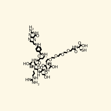 C[C@H](CCC(=O)N[C@@H](CC(=O)O)C(=O)N[C@@H](CCCNC(=N)N)C(=O)N[C@@H](CC(=O)O)C(=O)N[C@@H](CC(=O)O)C(=O)NCCOCCOCCOCCOCCC(=O)N[C@@H](CS)C(=O)O)NC(=O)c1ccc(NCc2cnc3nc(N)[nH]c(=O)c3n2)cc1